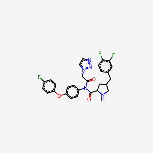 O=C(Cn1ccnn1)N(C(=O)C1CC(Cc2ccc(F)c(F)c2)CN1)c1ccc(Oc2ccc(F)cc2)cc1